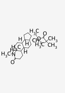 CC(OC(=O)C(C)(C)C)[C@H]1CC[C@H]2[C@@H]3CC[C@H]4N(C)C(=O)CC[C@]4(C)[C@H]3CC[C@]12C